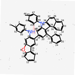 Cc1ccc(Nc2cc3oc4ccccc4c3cc2-c2cc(-c3ccccc3)c3c4c5ccccc5ccc4n4c3c2Bc2cc(C)ccc2-4)cc1